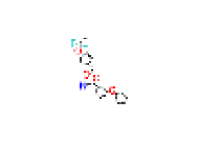 CCC(F)(F)Oc1ccc(CC(=O)OC(C#N)c2cccc(Oc3ccccc3)c2)cc1